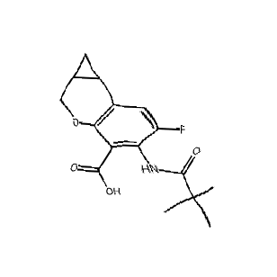 CC(C)(C)C(=O)Nc1c(F)cc2c(c1C(=O)O)OCC1CC21